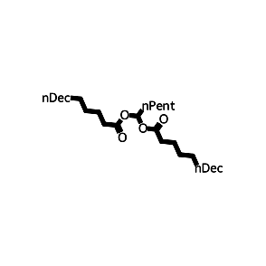 CCCCCCCCCCCCCCC(=O)OC(CCCCC)OC(=O)CCCCCCCCCCCCCC